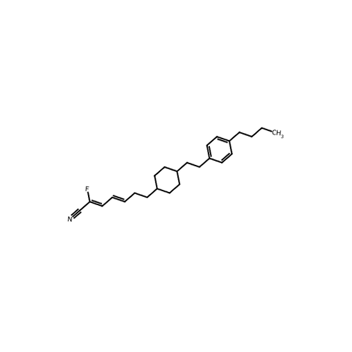 CCCCc1ccc(CCC2CCC(CCC=CC=C(F)C#N)CC2)cc1